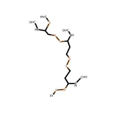 CCSSC(BC=O)CCSSCCC(BC=O)SSCC(BC=O)SSC